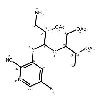 CC(=O)OCC(OC(Sc1cc(Br)cnc1C#N)[C@H](CN)OC(C)=O)[C@@H](C)OC(C)=O